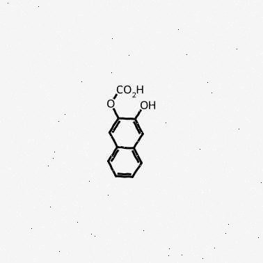 O=C(O)Oc1cc2ccccc2cc1O